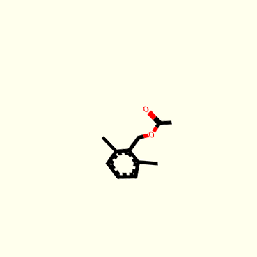 CC(=O)OCc1c(C)cccc1C